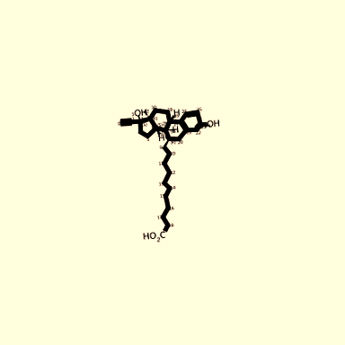 C#C[C@]1(O)CC[C@H]2[C@@H]3[C@H](CCCCCCCCCCC(=O)O)Cc4cc(O)ccc4[C@H]3CC[C@@]21C